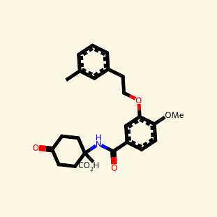 COc1ccc(C(=O)NC2(C(=O)O)CCC(=O)CC2)cc1OCCc1cccc(C)c1